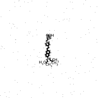 CC(C)CCN(CCC(C)C)c1ccc2cc(/C=C/c3cc[n+](CCCS(=O)(=O)O)cc3)ccc2c1